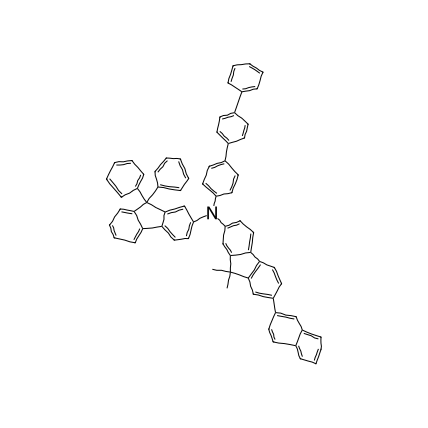 CC1(C)c2cc(-c3ccc4ccccc4c3)ccc2-c2ccc(N(c3ccc(-c4ccc(-c5ccccc5)cc4)cc3)c3ccc4c(c3)C(c3ccccc3)(c3ccccc3)c3ccccc3-4)cc21